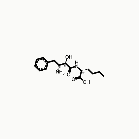 CCCC[C@@H](NC(=O)[C@H](O)[C@H](N)Cc1ccccc1)C(=O)O